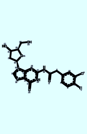 O=C(Cc1ccc(Cl)c(Cl)c1)Nc1nc2c(ncn2[C@H]2CC(O)[C@@H](CO)O2)c(=O)[nH]1